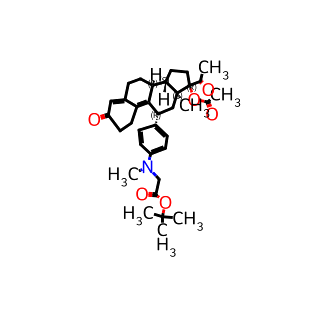 CC(=O)O[C@]1(C(C)=O)CC[C@H]2[C@@H]3CCC4=CC(=O)CCC4=C3[C@@H](c3ccc(N(C)CC(=O)OC(C)(C)C)cc3)C[C@@]21C